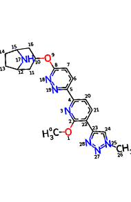 COc1nc(-c2ccc(OC3CC4CCC(C3)N4)nn2)ccc1-c1cn(C)nn1